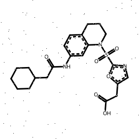 O=C(O)Cc1cnc(S(=O)(=O)N2CCCc3ccc(NC(=O)CC4CCCCC4)cc32)o1